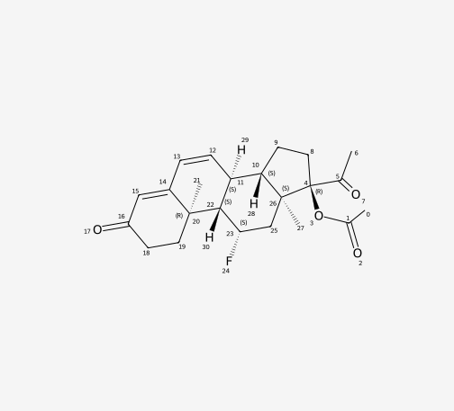 CC(=O)O[C@]1(C(C)=O)CC[C@H]2[C@@H]3C=CC4=CC(=O)CC[C@]4(C)[C@H]3[C@@H](F)C[C@@]21C